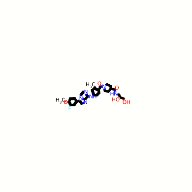 COc1ccc(-c2cnc3c(Nc4ccc(C(=O)N5CCC(C(=O)NCC(O)CO)CC5)c(C)c4)nccn23)cc1F